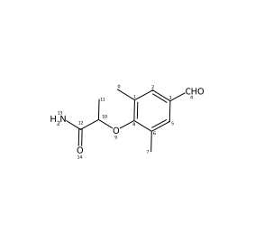 Cc1cc(C=O)cc(C)c1OC(C)C(N)=O